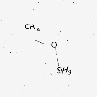 C.CO[SiH3]